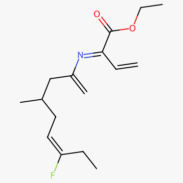 C=C/C(=N\C(=C)CC(C)C/C=C(/F)CC)C(=O)OCC